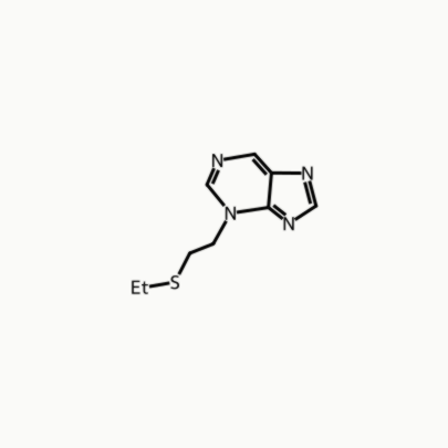 CCSCCn1cncc2ncnc1-2